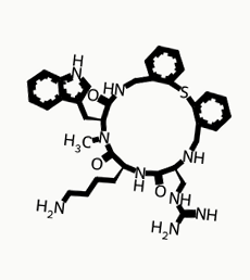 CN1C(=O)[C@H](CCCCN)NC(=O)[C@H](CNC(=N)N)NCc2ccccc2Sc2ccccc2CNC(=O)[C@@H]1Cc1c[nH]c2ccccc12